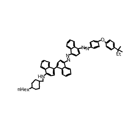 CCCCCCC1CCC(CNc2ccc(-c3ccc(N=Nc4ccc(N=Nc5ccc(Oc6ccc(C(C)(C)CC)cc6)cc5)c5ccccc45)c4ccccc34)c3ccccc23)CC1